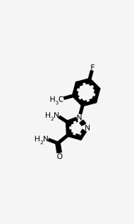 Cc1cc(F)ccc1-n1ncc(C(N)=O)c1N